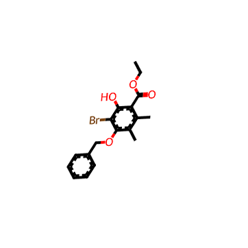 CCOC(=O)c1c(C)c(C)c(OCc2ccccc2)c(Br)c1O